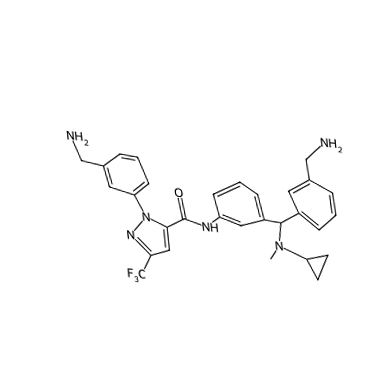 CN(C1CC1)C(c1cccc(CN)c1)c1cccc(NC(=O)c2cc(C(F)(F)F)nn2-c2cccc(CN)c2)c1